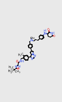 Cc1cc(-c2ncnn3cc(-c4ccc(CN(C)CCCc5ccc(NC6CCC(=O)NC6=O)cc5)cc4)cc23)ccc1CNC(=O)c1noc(C(C)(C)C)n1